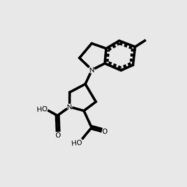 Cc1ccc2c(c1)CCN2C1CC(C(=O)O)N(C(=O)O)C1